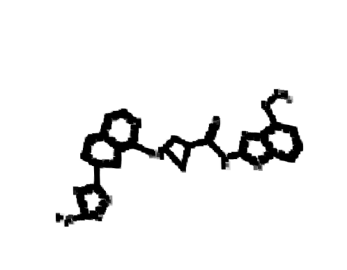 COc1cccc2nc(NC(=O)C3CC(Nc4nccc5ccc(-c6noc(C)n6)cc45)C3)sc12